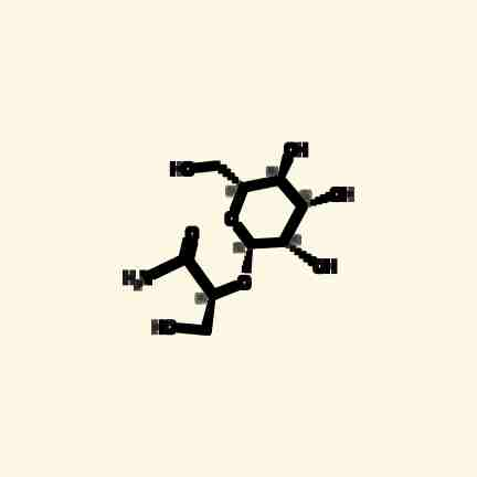 NC(=O)[C@H](CO)O[C@@H]1O[C@H](CO)[C@@H](O)[C@H](O)[C@@H]1O